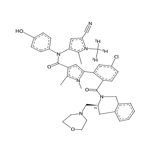 [2H]C([2H])([2H])n1c(C#N)cc(N(C(=O)c2cc(-c3cc(Cl)ccc3C(=O)N3Cc4ccccc4C[C@H]3CN3CCOCC3)n(C)c2C)c2ccc(O)cc2)c1C